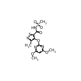 COc1cc(OC)nc(Oc2c(C)nsc2C(=O)NS(C)(=O)=O)n1